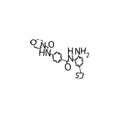 Nc1ccc(-c2cccs2)cc1NC(=O)c1ccc(NC(=O)N2CCOCC2)cc1